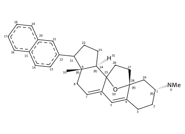 CN[C@@H]1CCC2=CC3=CC[C@]4(C)C(c5ccc6ccccc6c5)CC[C@H]4C34CC[C@]2(C1)O4